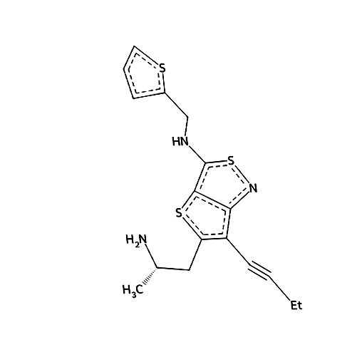 CCC#Cc1c(C[C@H](C)N)sc2c(NCc3cccs3)snc12